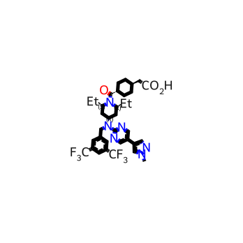 CC[C@@H]1C[C@H](N(Cc2cc(C(F)(F)F)cc(C(F)(F)F)c2)c2ncc(-c3cnn(C)c3)cn2)C[C@H](CC)N1C(=O)[C@H]1CC[C@H](CC(=O)O)CC1